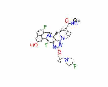 C#Cc1c(F)ccc2cc(O)cc(-c3nc(C#C)c4c(N5CC6CC7(C6)C6C(C5)CC67C(=O)NC(C)(C)C)nc(OCC5(CN6CCC(F)CC6)CC5)nc4c3F)c12